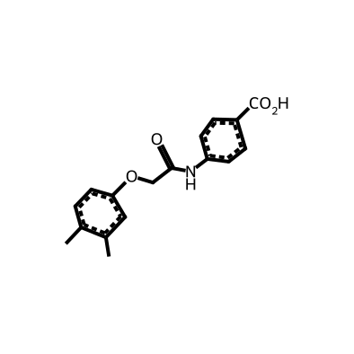 Cc1ccc(OCC(=O)Nc2ccc(C(=O)O)cc2)cc1C